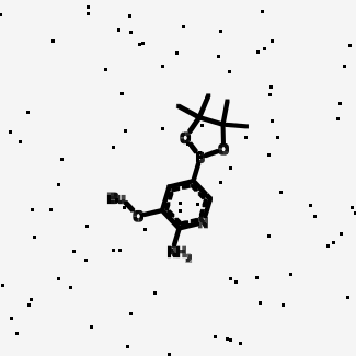 CCC(C)Oc1cc(B2OC(C)(C)C(C)(C)O2)cnc1N